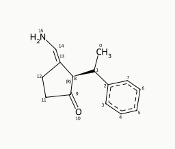 CC(c1ccccc1)[C@H]1C(=O)CCC1=CN